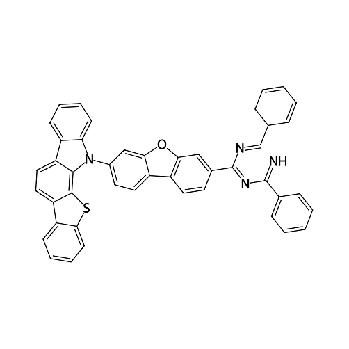 N=C(/N=C(\N=C\C1C=CC=CC1)c1ccc2c(c1)oc1cc(-n3c4ccccc4c4ccc5c6ccccc6sc5c43)ccc12)c1ccccc1